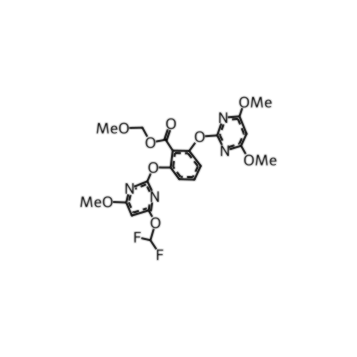 COCOC(=O)c1c(Oc2nc(OC)cc(OC)n2)cccc1Oc1nc(OC)cc(OC(F)F)n1